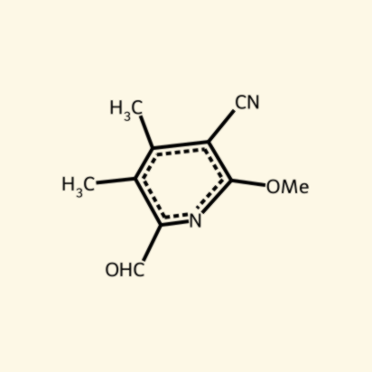 COc1nc(C=O)c(C)c(C)c1C#N